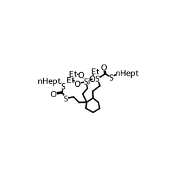 CCCCCCCSC(=O)SCCC1CCCCC1(CCSC(=O)SCCCCCCC)CC[Si](OCC)(OCC)OCC